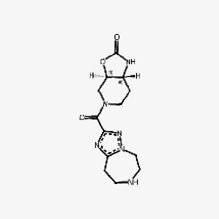 O=C1N[C@@H]2CCN(C(=O)c3nc4n(n3)CCNCC4)C[C@H]2O1